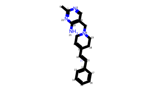 Cc1ncc(CN2CC=C(/C=C/c3ccccc3)CC2)c(N)n1